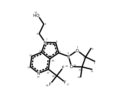 CC1(C)OB(c2cn(CCO)c3ccnc(C(F)(F)F)c23)OC1(C)C